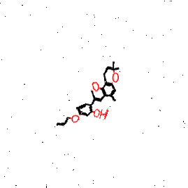 CCCOc1ccc(C2=Cc3c(C)cc4c(c3OC2)CCC(C)(C)O4)c(O)c1